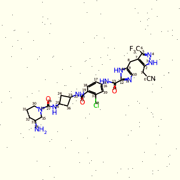 N#CCc1[nH]nc(C(F)(F)F)c1Cc1cnc(C(=O)Nc2ccc(C(=O)NC3CC(NC(=O)N4CCCC(N)C4)C3)c(Cl)c2)[nH]1